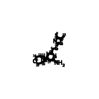 Cc1nc(SCc2cc(N3C4CCC3COC4)cc(N)n2)sc1C